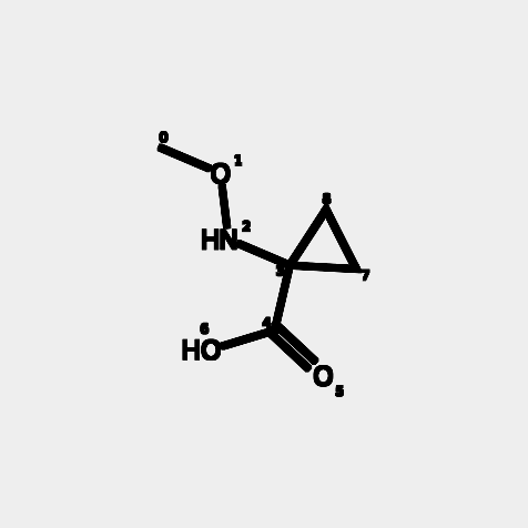 CONC1(C(=O)O)CC1